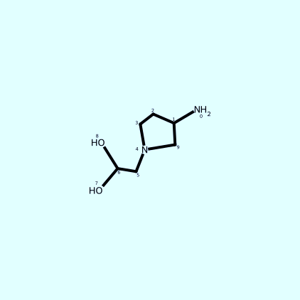 NC1CCN(CC(O)O)C1